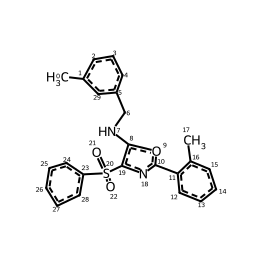 Cc1cccc(CNc2oc(-c3ccccc3C)nc2S(=O)(=O)c2ccccc2)c1